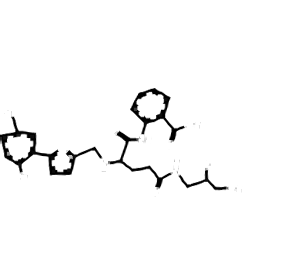 O=C(CCC(NCc1ccc(-c2cc(Cl)ccc2Cl)o1)C(=O)Nc1ccccc1C(=O)O)NCC(O)CO